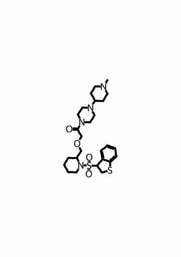 CN1CCC(N2CCN(C(=O)COCC3CCCCN3S(=O)(=O)C3CSc4ccccc43)CC2)CC1